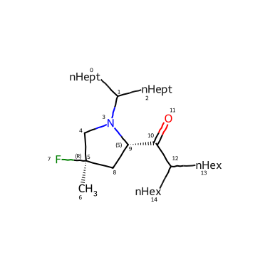 CCCCCCCC(CCCCCCC)N1C[C@](C)(F)C[C@H]1C(=O)C(CCCCCC)CCCCCC